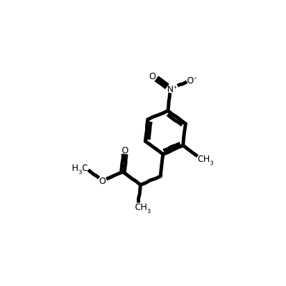 COC(=O)C(C)Cc1ccc([N+](=O)[O-])cc1C